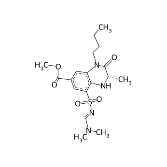 CCCCN1C(=O)[C@H](C)Nc2c1cc(C(=O)OC)cc2S(=O)(=O)/N=C/N(C)C